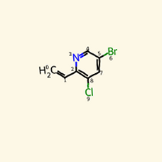 C=Cc1ncc(Br)cc1Cl